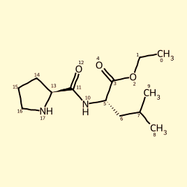 CCOC(=O)[C@H](CC(C)C)NC(=O)[C@@H]1CCCN1